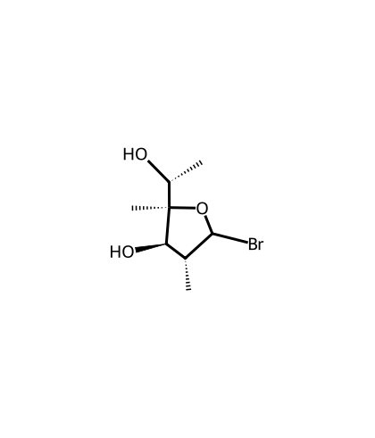 C[C@H]1C(Br)O[C@](C)([C@@H](C)O)[C@@H]1O